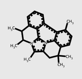 Cc1ccc2c3c1c1cccc4c1c1n3c(c(C)[n+]1C(C)C4C)CC2(C)C